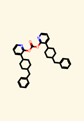 O=C(Oc1ncccc1C1CCC(Cc2ccccc2)CC1)Oc1ncccc1C1CCC(Cc2ccccc2)CC1